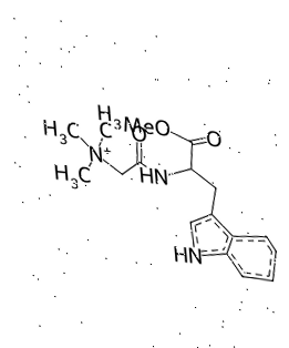 COC(=O)C(Cc1c[nH]c2ccccc12)NC(=O)C[N+](C)(C)C